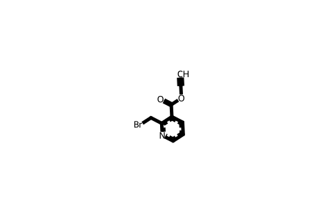 C#COC(=O)c1cccnc1CBr